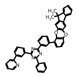 CC1(C)c2ccccc2-c2cc3c(cc21)Oc1c(cccc1-c1cccc(-c2nc(-c4ccccc4)nc(-c4cccc(-c5ccccn5)c4)n2)c1)O3